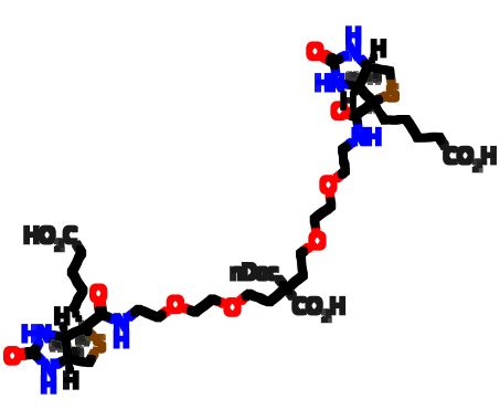 CCCCCCCCCCC(CCOCCOCCNC(=O)[C@@]1(CCCCC(=O)O)SC[C@@H]2NC(=O)N[C@@H]21)(CCOCCOCCNC(=O)[C@@]1(CCCCC(=O)O)SC[C@@H]2NC(=O)N[C@@H]21)C(=O)O